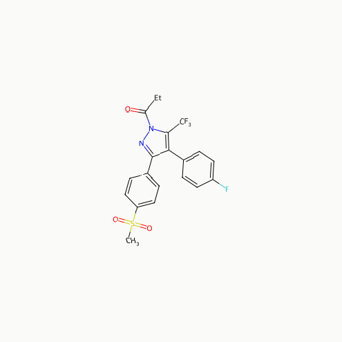 CCC(=O)n1nc(-c2ccc(S(C)(=O)=O)cc2)c(-c2ccc(F)cc2)c1C(F)(F)F